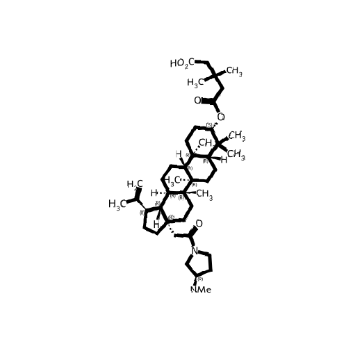 C=C(C)[C@@H]1CC[C@]2(CC(=O)N3CC[C@@H](NC)C3)CC[C@]3(C)[C@H](CC[C@@H]4[C@@]5(C)CC[C@H](OC(=O)CC(C)(C)CC(=O)O)C(C)(C)[C@@H]5CC[C@]43C)[C@@H]12